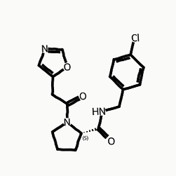 O=C(NCc1ccc(Cl)cc1)[C@@H]1CCCN1C(=O)Cc1cnco1